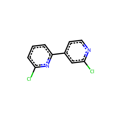 Clc1cc(-c2cccc(Cl)n2)ccn1